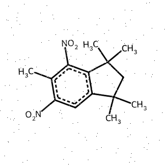 Cc1c([N+](=O)[O-])cc2c(c1[N+](=O)[O-])C(C)(C)CC2(C)C